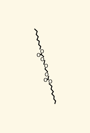 CCCCCCCCCOC(=O)COCCOCCOCC(=O)OCCCCCCCCC